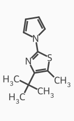 Cc1sc(-n2cccc2)nc1C(C)(C)C